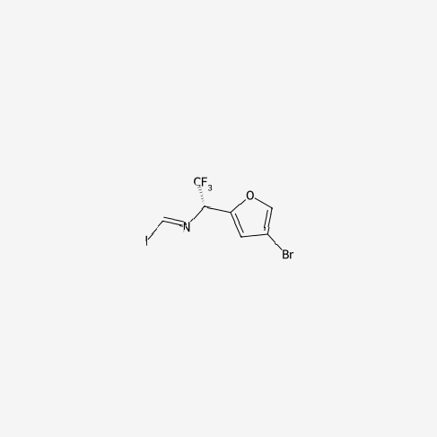 FC(F)(F)[C@@H](/N=C/I)c1cc(Br)co1